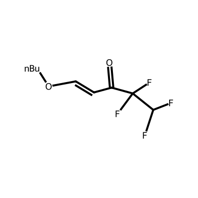 CCCCO/C=C/C(=O)C(F)(F)C(F)F